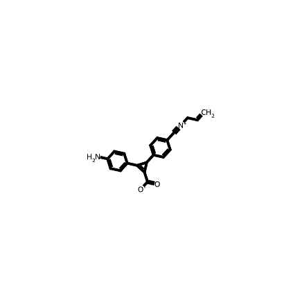 C=CC[N+]#Cc1ccc(C2C(C(=O)[O-])=C2c2ccc(N)cc2)cc1